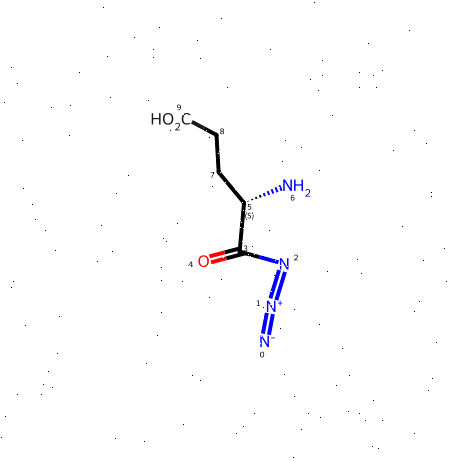 [N-]=[N+]=NC(=O)[C@@H](N)CCC(=O)O